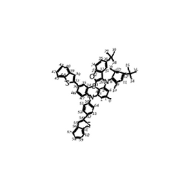 Cc1cc2c3c(c1)N(c1c(C)cc(C(C)(C)C)cc1C)c1c(oc4ccc(C(C)(C)C)cc14)B3c1cc(-c3cc4ccccc4s3)ccc1N2c1ccc(-c2cc3ccccc3s2)cc1